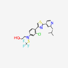 CC(C)Cc1cc(-c2nc(-c3ccc(N(CCO)SC(F)(F)F)cc3Cl)cs2)ccn1